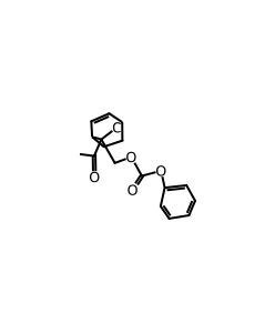 CC(=O)C1(COC(=O)Oc2ccccc2)CC2C=CC1CC2